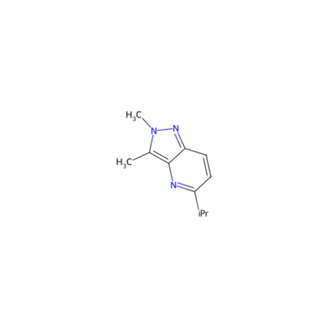 Cc1c2nc(C(C)C)ccc2nn1C